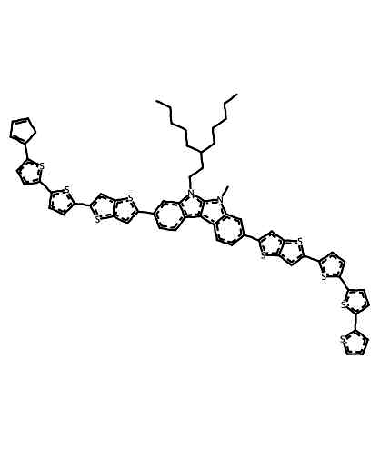 CCCCCC(CCCCC)CCn1c2cc(-c3cc4sc(-c5ccc(-c6ccc(C7=CC=CC7)s6)s5)cc4s3)ccc2c2c3ccc(-c4cc5sc(-c6ccc(-c7ccc(-c8cccs8)s7)s6)cc5s4)cc3n(C)c21